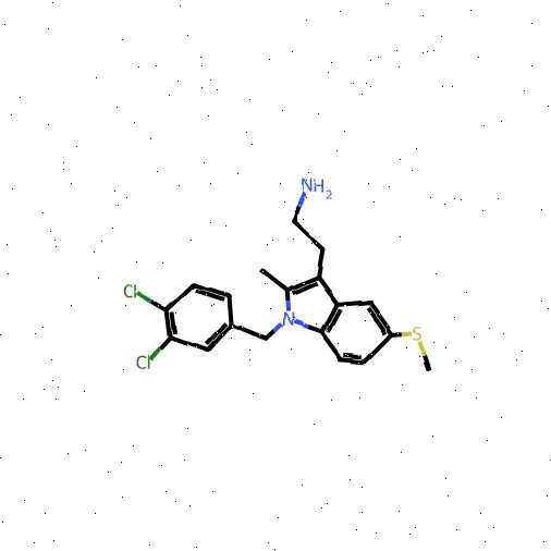 CSc1ccc2c(c1)c(CCN)c(C)n2Cc1ccc(Cl)c(Cl)c1